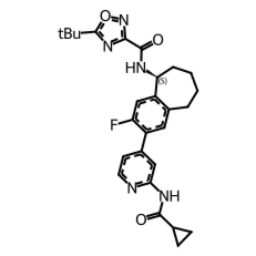 CC(C)(C)c1nc(C(=O)N[C@H]2CCCCc3cc(-c4ccnc(NC(=O)C5CC5)c4)c(F)cc32)no1